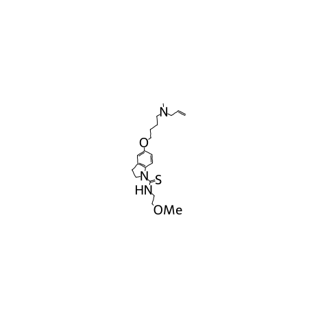 C=CCN(C)CCCCOc1ccc2c(c1)CCN2C(=S)NCCOC